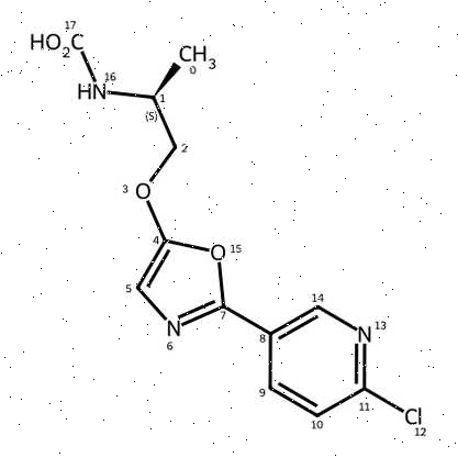 C[C@@H](COc1cnc(-c2ccc(Cl)nc2)o1)NC(=O)O